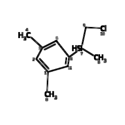 Cc1cc(C)cc([SiH](C)CCl)c1